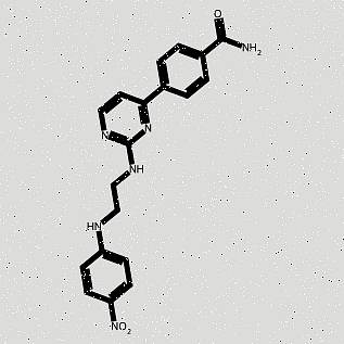 NC(=O)c1ccc(-c2ccnc(NCCNc3ccc([N+](=O)[O-])cc3)n2)cc1